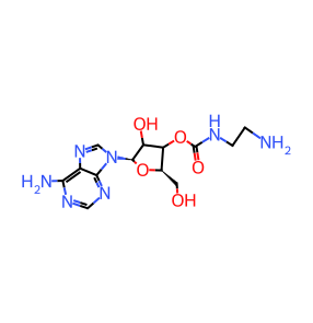 NCCNC(=O)OC1C(O)[C@H](n2cnc3c(N)ncnc32)O[C@@H]1CO